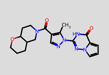 Cc1c(C(=O)N2CCC3OCCCC3C2)cnn1-c1nn2cccc2c(=O)[nH]1